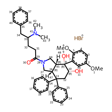 Br.COc1ccc(OC)c([C@@]2(O)[C@H](O)CC(c3ccccc3)(c3ccccc3)[C@@H]3CN(C(=O)CCC(Cc4ccccc4)N(C)C)C[C@@H]32)c1